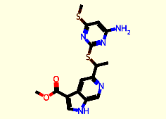 COC(=O)c1c[nH]c2cnc(C(C)Sc3nc(N)cc(SC)n3)cc12